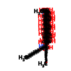 CCCCCCCCCCCCC/C=C/[C@@H](O)[C@H](CO[C@@H]1OC(CO)[C@@H](O[C@@H]2OC(CO)[C@H](O[C@@H]3OC(CO)[C@H](O)[C@H](O[C@H]4OC(CO)[C@H](O)[C@H](O[C@H]5OC(CO)[C@H](O)[C@H](O[C@H]6OC(CO)[C@H](O)[C@H](O[C@H]7OC(CO)[C@H](O)[C@H](O[C@@H]8OC(CO)[C@H](O)[C@H](O)C8NC(C)=O)C7O)C6O)C5O)C4O)C3O)[C@H](O)C2O)[C@H](O)C1O)NC(=O)CCCCCCCCCCCCCCCCCCC